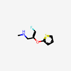 CNCC(=CF)Oc1cccs1